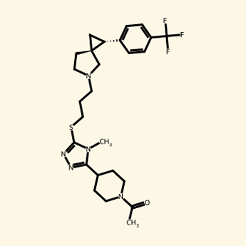 CC(=O)N1CCC(c2nnc(SCCCN3CC[C@]4(C[C@@H]4c4ccc(C(F)(F)F)cc4)C3)n2C)CC1